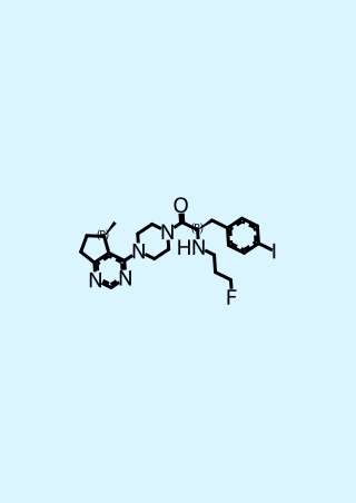 C[C@@H]1CCc2ncnc(N3CCN(C(=O)[C@@H](Cc4ccc(I)cc4)NCCCF)CC3)c21